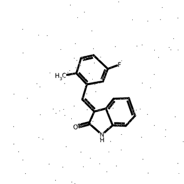 Cc1ccc(F)cc1C=C1C(=O)Nc2ccccc21